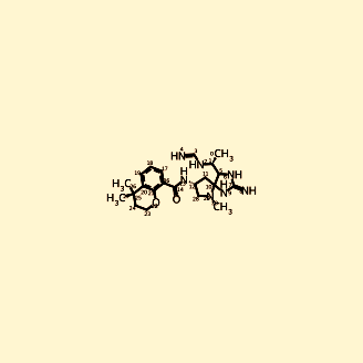 C[C@H](NC=N)C1NC(=N)NC12C[C@@H](NC(=O)c1cccc3c1OCCC3(C)C)CN2C